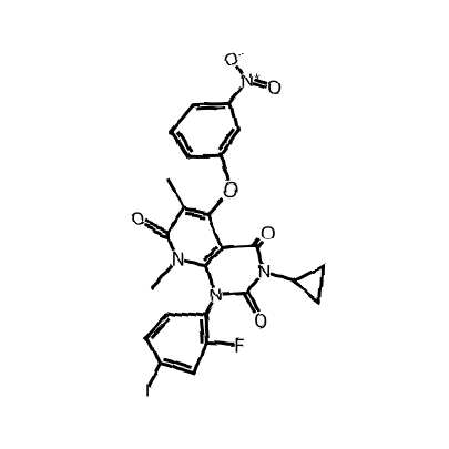 Cc1c(Oc2cccc([N+](=O)[O-])c2)c2c(=O)n(C3CC3)c(=O)n(-c3ccc(I)cc3F)c2n(C)c1=O